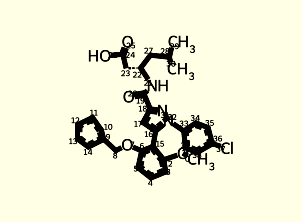 COc1cccc(OCc2ccccc2)c1-c1cc(C(=O)N[C@H](CC(=O)O)CC(C)C)nn1-c1ccc(Cl)cc1